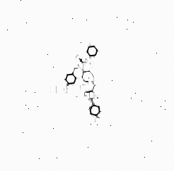 Cc1ccc(CN(C(=O)Nc2ccccc2)C2CCN(Cc3nc(-c4ccc(C(F)(F)F)cc4)[nH]c3C)CC2)cc1